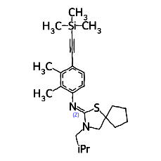 Cc1c(C#C[Si](C)(C)C)ccc(/N=C2\SC3(CCCC3)CN2CC(C)C)c1C